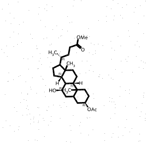 COC(=O)CC[C@@H](C)C1CC[C@H]2C3[C@H](O)CC4C[C@H](OC(C)=O)CCC4(C)[C@H]3CCC12C